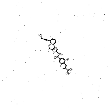 COCC#Cc1cccc2c1CCc1sc(NC(=O)c3cc(F)c(C=C(C)C(=O)O)c(F)c3)nc1-2